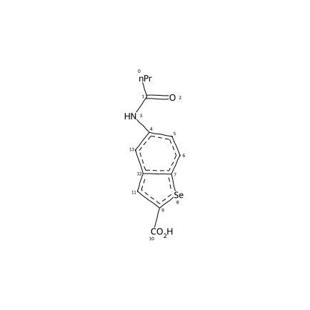 CCCC(=O)Nc1ccc2[se]c(C(=O)O)cc2c1